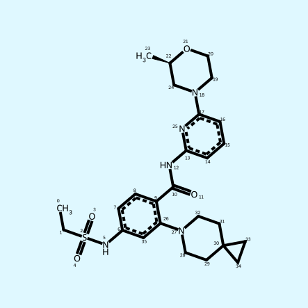 CCS(=O)(=O)Nc1ccc(C(=O)Nc2cccc(N3CCO[C@H](C)C3)n2)c(N2CCC3(CC2)CC3)c1